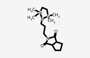 C[Si]1(C)CC[Si](C)(C)N1CCCN1C(=O)C2CCCC2C1=O